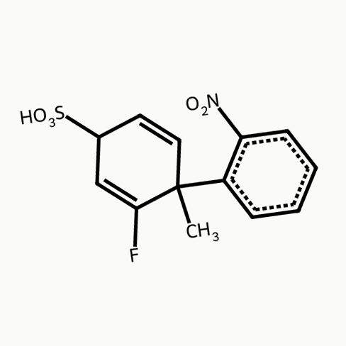 CC1(c2ccccc2[N+](=O)[O-])C=CC(S(=O)(=O)O)C=C1F